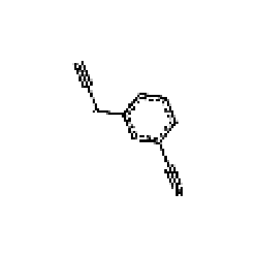 C#C[CH]c1cccc(C#N)c1